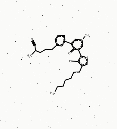 CCCCCCCc1csc(-c2cn(C)cc(-c3cccc(CCCC(C)C#N)c3)c2=O)c1Cl